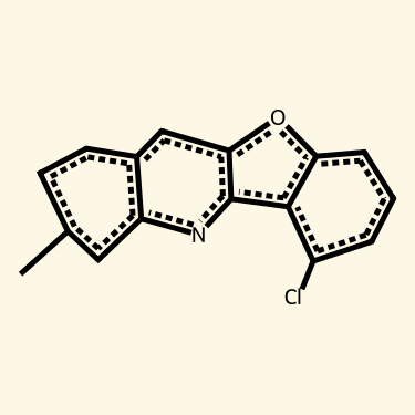 Cc1ccc2cc3oc4cccc(Cl)c4c3nc2c1